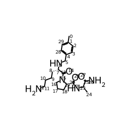 Cc1ccc(CN[C@@H](CCCCN)C(=O)N2CCC[C@H]2C(=O)N[C@H](C)C(N)=O)cc1